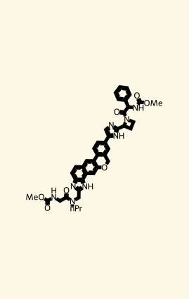 CCCN(Cc1nc2ccc3cc4c(cc3c2[nH]1)OCc1cc(-c2cnc(C3CCN3C(=O)C(NC(=O)OC)c3ccccc3)[nH]2)ccc1-4)C(=O)CNC(=O)OC